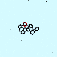 C1=CCC(n2c3ccccc3c3cccc(C4C=CC5=C(C4)Sc4ccccc4C5C4c5ccccc5SC5C=CC=C(c6ccccc6)C54)c32)C=C1